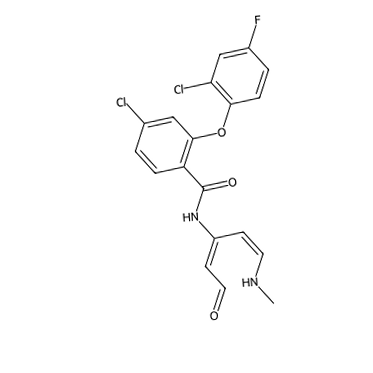 CN/C=C\C(=C/C=O)NC(=O)c1ccc(Cl)cc1Oc1ccc(F)cc1Cl